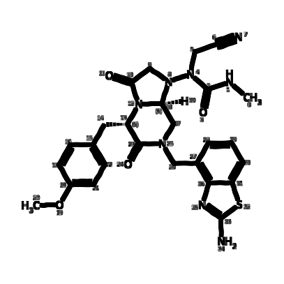 CNC(=O)N(CC#N)N1CC(=O)N2[C@@H](Cc3ccc(OC)cc3)C(=O)N(Cc3cccc4sc(N)nc34)C[C@@H]21